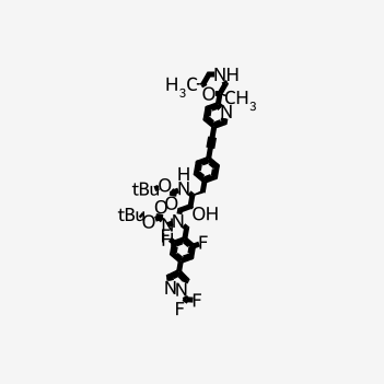 C[C@@H]1CNC[C@@](C)(c2ccc(C#Cc3ccc(C[C@H](NC(=O)OC(C)(C)C)[C@@H](O)CN(Cc4c(F)cc(-c5cnn(C(F)F)c5)cc4F)NC(=O)OC(C)(C)C)cc3)cn2)O1